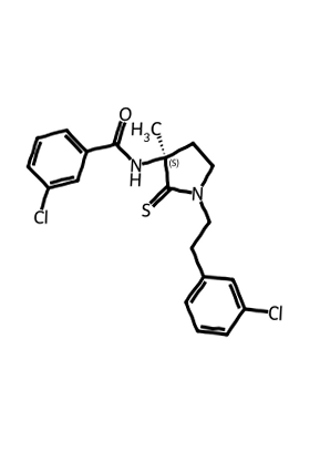 C[C@]1(NC(=O)c2cccc(Cl)c2)CCN(CCc2cccc(Cl)c2)C1=S